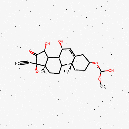 C#C[C@]1(O)C(=O)[C@@H](O)C2C3C(CC[C@@]21C)[C@@]1(C)CC[C@H](OC(O)OC)CC1=C[C@@H]3O